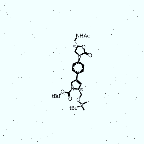 CC(=O)NC[C@H]1CN(c2ccc(C3=C[C@@H](CO[Si](C)(C)C(C)(C)C)N(C(=O)OC(C)(C)C)C3)cc2)C(=O)O1